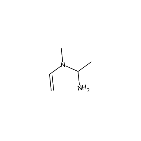 C=CN(C)C(C)N